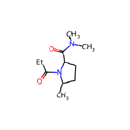 CCC(=O)N1C(C)CCC1C(=O)N(C)C